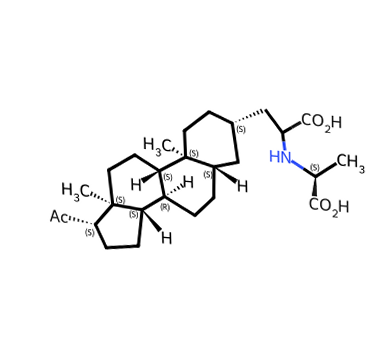 CC(=O)[C@H]1CC[C@H]2[C@@H]3CC[C@H]4C[C@@H](CC(N[C@@H](C)C(=O)O)C(=O)O)CC[C@]4(C)[C@H]3CC[C@]12C